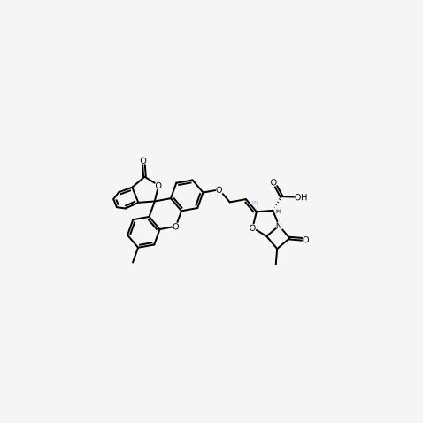 Cc1ccc2c(c1)Oc1cc(OC/C=C3\OC4C(C)C(=O)N4[C@H]3C(=O)O)ccc1C21OC(=O)c2ccccc21